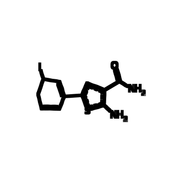 NC(=O)c1cc(C2=CC(I)CC=C2)sc1N